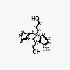 OCCC[P+](CCCO)(Cn1cncn1)c1ccccc1.[Cl-]